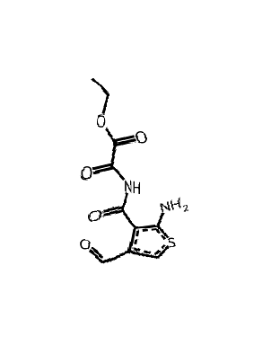 CCOC(=O)C(=O)NC(=O)c1c(C=O)csc1N